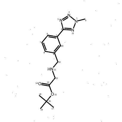 Cn1nnc(-c2cccc(CNCC(=O)OC(C)(C)C)c2)n1